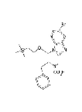 C[Si](C)(C)CCOCn1c(CN(CCc2ccccc2)C(=O)O)nc2cc(Br)cnc21